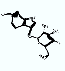 OC[C@H]1O[C@@H](Oc2c[nH]c3cc(Cl)ccc23)[C@H](O)[C@@H](O)[C@H]1O